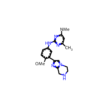 CNc1cc(C)nc(Nc2ccc(OC)c(-c3cn4c(n3)CNCC4)c2)n1